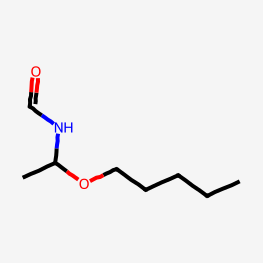 CCCCCOC(C)NC=O